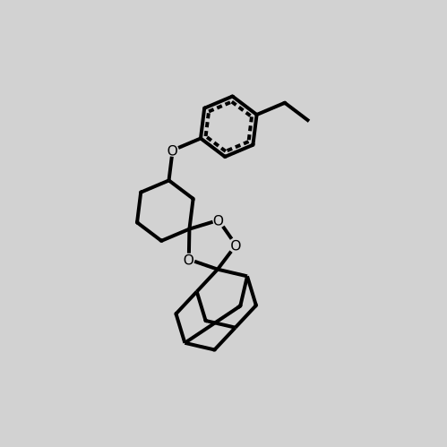 CCc1ccc(OC2CCCC3(C2)OOC2(O3)C3CC4CC(C3)CC2C4)cc1